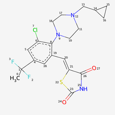 CC(F)(F)c1cc(Cl)c(N2CCN(CC3CC3)CC2)c(/C=C2\SC(=O)NC2=O)c1